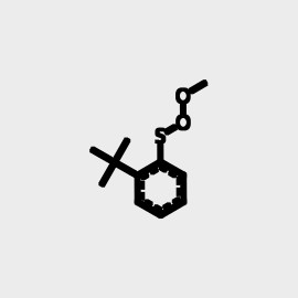 COOSc1ccccc1C(C)(C)C